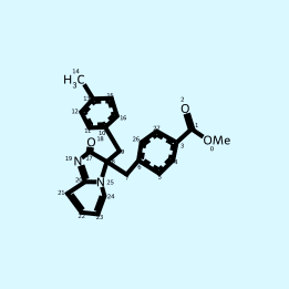 COC(=O)c1ccc(CC2(Cc3ccc(C)cc3)C(=O)N=C3C=CC=CN32)cc1